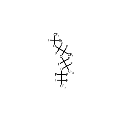 FC(F)(F)C(F)(Br)OC(F)(F)C(F)(OC(F)(F)C(F)(OC(F)(F)C(F)(F)C(F)(F)F)C(F)(F)F)C(F)(F)F